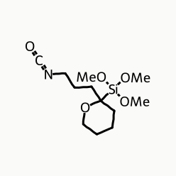 CO[Si](OC)(OC)C1(CCCN=C=O)CCCCO1